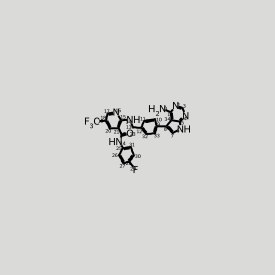 Nc1ncnc2[nH]cc(-c3ccc(CNc4ncc(C(F)(F)F)cc4C(=O)Nc4ccc(F)cc4)cc3)c12